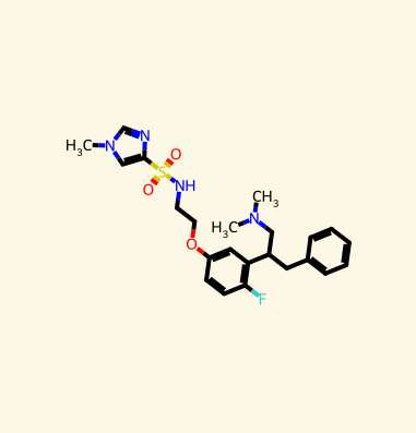 CN(C)CC(Cc1ccccc1)c1cc(OCCNS(=O)(=O)c2cn(C)cn2)ccc1F